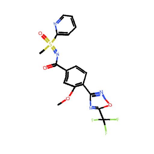 COc1cc(C(=O)N=S(C)(=O)c2ccccn2)ccc1-c1noc(C(F)(F)F)n1